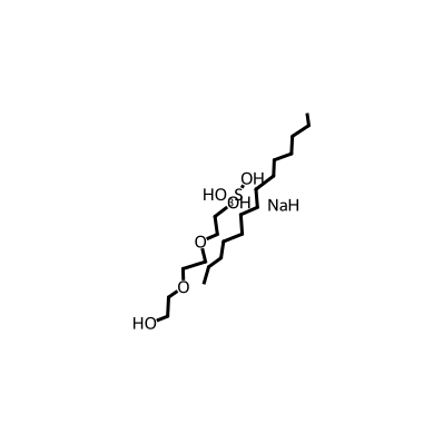 CCCCCCCCCCCCCC.O=S(=O)(O)O.OCCOCCOCCO.[NaH]